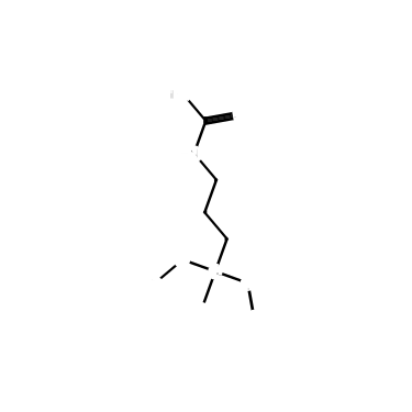 CCC(C)C(=O)NCCC[Si](C)(OC(C)C)OC(C)C